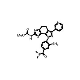 Bc1cc(C(=O)N(C)C)ccc1-n1nc(-c2cccnc2)c2c1-c1sc(NC(=O)OC)nc1CC2